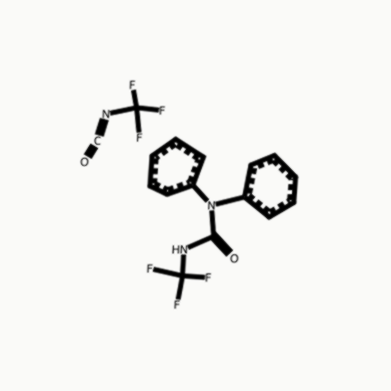 O=C(NC(F)(F)F)N(c1ccccc1)c1ccccc1.O=C=NC(F)(F)F